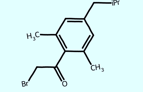 Cc1cc(CC(C)C)cc(C)c1C(=O)CBr